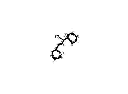 ClC(/C=C/c1ccccn1)c1ccccc1